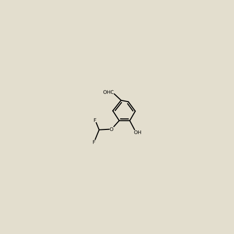 O=Cc1ccc(O)c(OC(F)F)c1